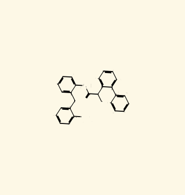 CC(C(=O)Nc1ccccc1Cc1ccccc1C(=O)O)c1ccccc1-c1ccccc1